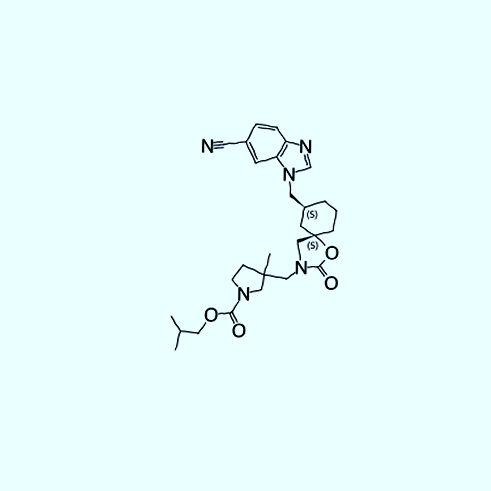 CC(C)COC(=O)N1CCC(C)(CN2C[C@@]3(CCC[C@H](Cn4cnc5ccc(C#N)cc54)C3)OC2=O)C1